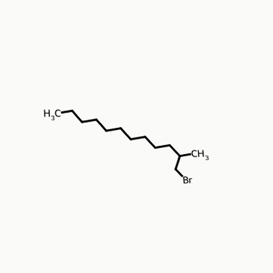 CCCCCCCCCCC(C)CBr